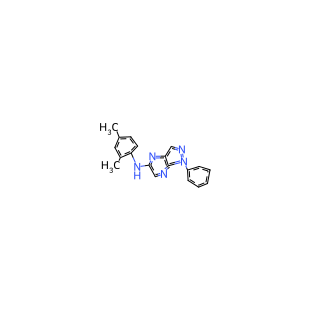 Cc1ccc(Nc2cnc3c(cnn3-c3ccccc3)n2)c(C)c1